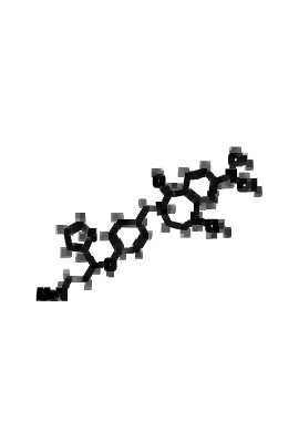 CNCCC(Oc1ccc(CN2CCN(C)c3nc(N(C)C)ccc3C2=O)cc1)c1cccs1